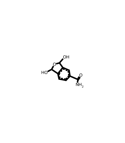 NC(=O)c1ccc2c(c1)C(O)OC2O